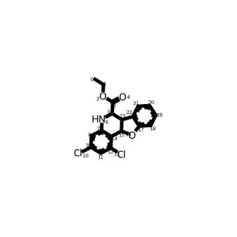 CCOC(=O)C1Nc2cc(Cl)cc(Cl)c2C2Oc3ccccc3C12